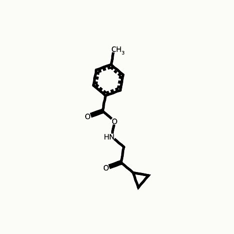 Cc1ccc(C(=O)ONCC(=O)C2CC2)cc1